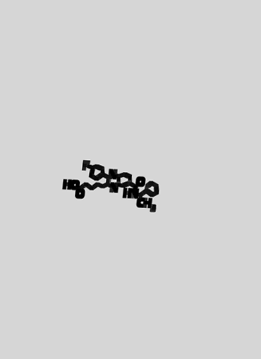 CC(NC(=O)c1ccc2nc(-c3ccc(F)cc3)c(CCCCC(=O)O)nc2c1)c1ccccc1